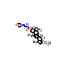 CC(C)[C@@H]1CC[C@]2(C(=O)O)CC[C@]3(C)C(CCC4[C@@]5(C)CC[C@@H](OC(=O)NCCN6CCOCC6)C(C)(C)C5CC[C@]43C)C12